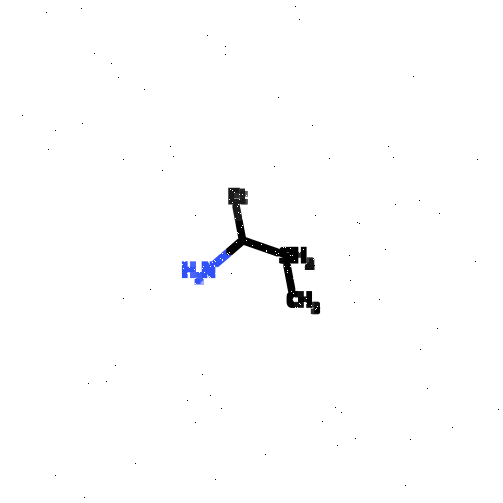 CCC(N)[SiH2]C